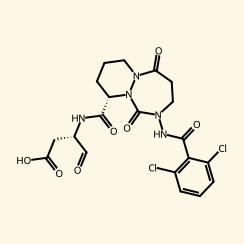 O=C[C@H](CC(=O)O)NC(=O)[C@@H]1CCCN2C(=O)CCN(NC(=O)c3c(Cl)cccc3Cl)C(=O)N12